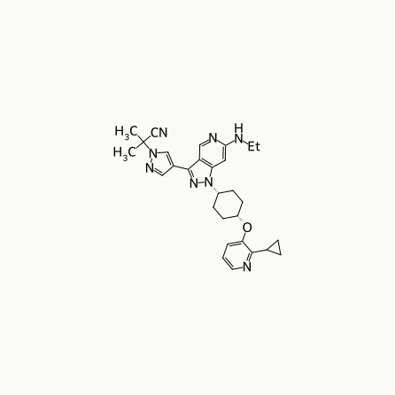 CCNc1cc2c(cn1)c(-c1cnn(C(C)(C)C#N)c1)nn2[C@H]1CC[C@@H](Oc2cccnc2C2CC2)CC1